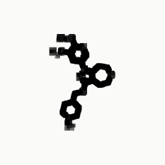 COc1ncc(-n2nc(OCC3CCN(C(C)C)CC3)c3c2CCOCC3)cc1C